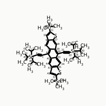 CC(C)[Si](C#Cc1c2cc3c[c]([Sn]([CH3])([CH3])[CH3])sc3cc2c(C#C[Si](C(C)C)(C(C)C)C(C)C)c2cc3s[c]([Sn]([CH3])([CH3])[CH3])cc3cc12)(C(C)C)C(C)C